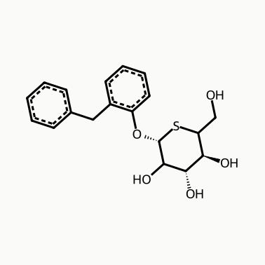 OCC1S[C@@H](Oc2ccccc2Cc2ccccc2)C(O)[C@@H](O)[C@@H]1O